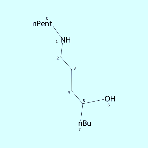 CCCCCNCCCC(O)CCCC